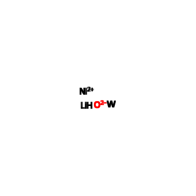 [LiH].[Ni+2].[O-2].[W]